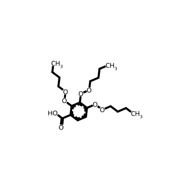 CCCCOOc1ccc(C(=O)O)c(OOCCCC)c1OOCCCC